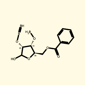 B=BO[C@H]1C(O)O[C@H](COC(=O)c2ccccc2)[C@H]1OB